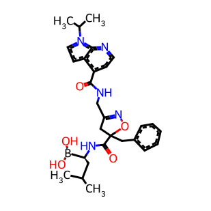 CC(C)C[C@H](NC(=O)C1(Cc2ccccc2)CC(CNC(=O)c2ccnc3c2ccn3C(C)C)=NO1)B(O)O